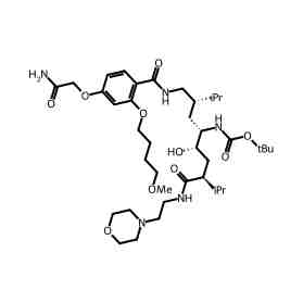 COCCCCOc1cc(OCC(N)=O)ccc1C(=O)NC[C@@H](C[C@H](NC(=O)OC(C)(C)C)[C@@H](O)C[C@H](C(=O)NCCN1CCOCC1)C(C)C)C(C)C